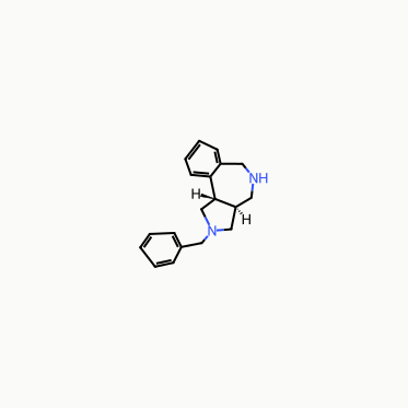 c1ccc(CN2C[C@@H]3CNCc4ccccc4[C@H]3C2)cc1